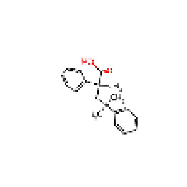 CC(C[Si](C)(C)c1ccccc1)(C(=O)O)c1ccccc1